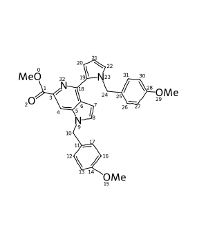 COC(=O)c1cc2c(ccn2Cc2ccc(OC)cc2)c(-c2cccn2Cc2ccc(OC)cc2)n1